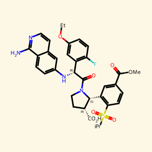 CCOc1ccc(F)c([C@@H](Nc2ccc3c(N)nccc3c2)C(=O)N2CC[C@@H](C(=O)O)[C@H]2c2cc(C(=O)OC)ccc2S(=O)(=O)C(C)C)c1